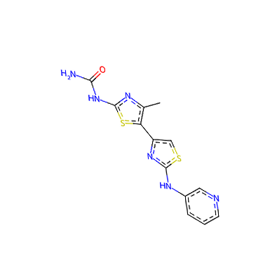 Cc1nc(NC(N)=O)sc1-c1csc(Nc2cccnc2)n1